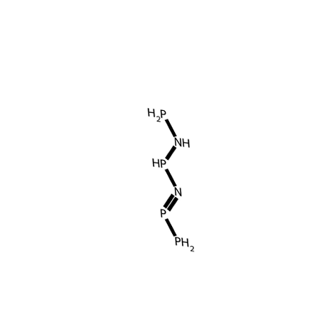 PNPN=PP